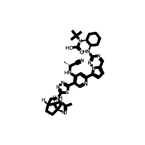 CC(=O)N[C@@H]1[C@@H]2CC[C@H]1CN(c1nnc(-c3cnc(-c4ccc5cnc(N[C@@H]6CCCC[C@@H]6N(C(=O)O)C(C)(C)C)nn45)cc3N[C@H](C)C#N)s1)C2